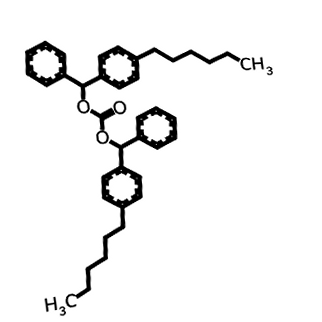 CCCCCCc1ccc(C(OC(=O)OC(c2ccccc2)c2ccc(CCCCCC)cc2)c2ccccc2)cc1